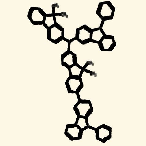 CC1(C)c2ccccc2-c2ccc(N(c3ccc4c(c3)C(C)(C)c3cc(-c5ccc6c(c5)c5ccccc5n6-c5ccccc5)ccc3-4)c3ccc4c(c3)c3ccccc3n4-c3ccccc3)cc21